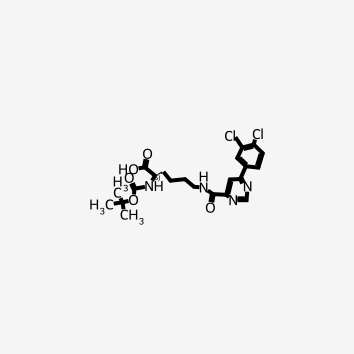 CC(C)(C)OC(=O)N[C@@H](CCCCNC(=O)c1cc(-c2ccc(Cl)c(Cl)c2)ncn1)C(=O)O